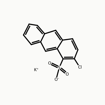 O=S(=O)([O-])c1c(Cl)ccc2cc3ccccc3cc12.[K+]